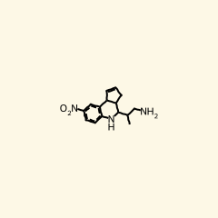 CC(CN)C1Nc2ccc([N+](=O)[O-])cc2C2C=CCC21